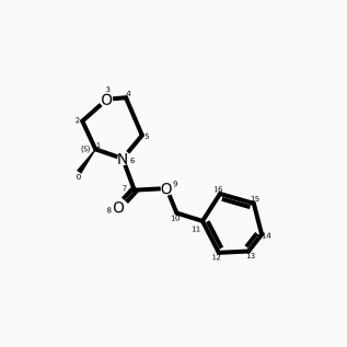 C[C@H]1COCCN1C(=O)OCc1ccccc1